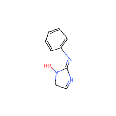 ON1CC=NC1=Nc1ccccc1